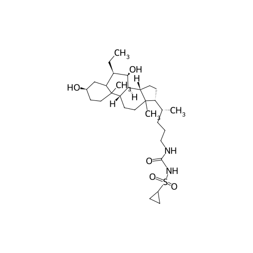 CC[C@@H]1C2C[C@H](O)CCC2(C)[C@H]2CCC3(C)[C@@H]([C@H](C)CCCNC(=O)NS(=O)(=O)C4CC4)CC[C@H]3[C@@H]2[C@@H]1O